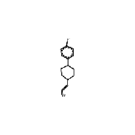 CCC/C=C/C1CCC(c2ccc(CC)cc2)CC1